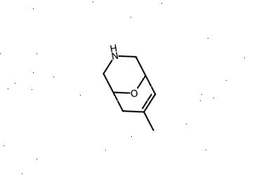 CC1=CC2CNCC(C1)O2